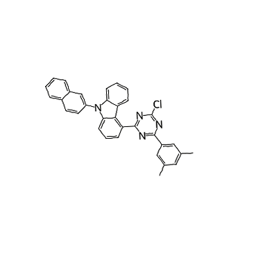 Cc1cc(C)cc(-c2nc(Cl)nc(-c3cccc4c3c3ccccc3n4-c3ccc4ccccc4c3)n2)c1